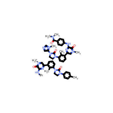 Cc1c(-c2cn(C)c(=O)c(Nc3ccc(C(=O)N(C)C)cc3)n2)cccc1N1CCN(c2cncn2C)C1=O.Cc1ccc(N2CCN(c3cccc(-c4cn(C)c(=O)c(NC(C)C)n4)c3C)C2=O)cc1